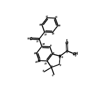 CC1(C)CN(C(=O)O)c2cc(C(=O)c3ccccc3)cnc21